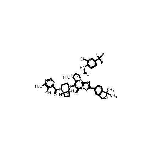 Cc1ncnc(C(=O)N2CCN(c3c4n(c5nc(-c6ccc7c(c6)COC7(C)C)nn5c3=O)[C@@H](C(=O)Nc3ccc(C(F)(F)F)cc3Cl)C[C@H]4C)[C@H]3CC[C@@H]32)c1O